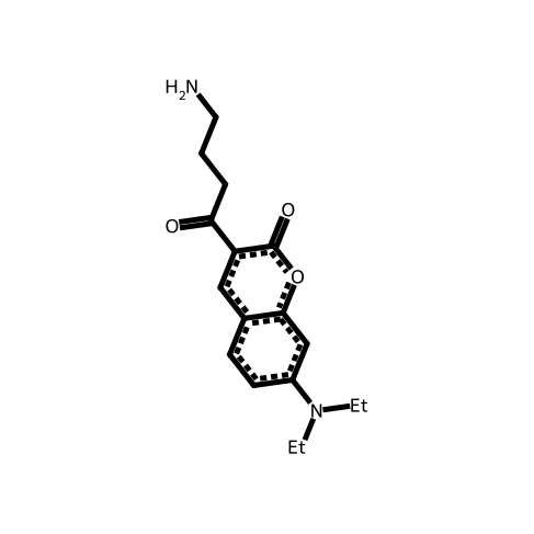 CCN(CC)c1ccc2cc(C(=O)CCCN)c(=O)oc2c1